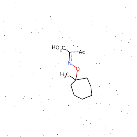 CC(=O)/C(=N\OC1(C)CCCCCC1)C(=O)O